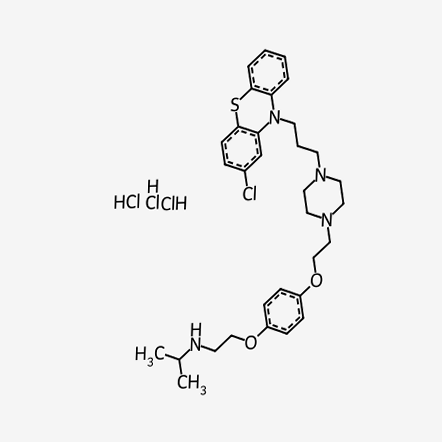 CC(C)NCCOc1ccc(OCCN2CCN(CCCN3c4ccccc4Sc4ccc(Cl)cc43)CC2)cc1.Cl.Cl.Cl